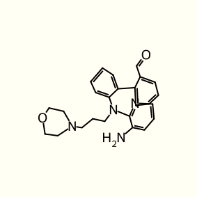 Nc1cccnc1N(CCCN1CCOCC1)c1ccccc1-c1ccccc1C=O